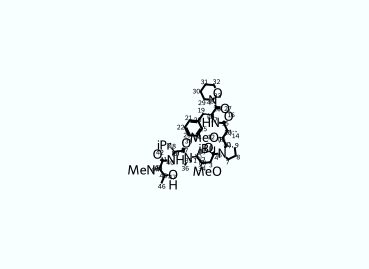 CC[C@H](C)[C@@H]([C@@H](CC(=O)N1CCC[C@H]1[C@H](OC)[C@@H](C)C(=O)N[C@@H](Cc1ccccc1)C(=O)N1CCCCO1)OC)N(C)C(=O)[C@@H](NC(=O)[C@@H](NC)C(C)O)C(C)C